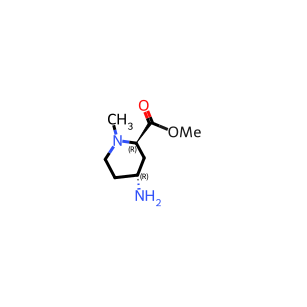 COC(=O)[C@H]1C[C@H](N)CCN1C